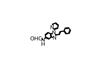 O=CNc1ccc2c(c1)nc(/C=C/c1ccccc1)n2-c1ccccn1